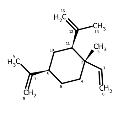 C=C[C@]1(C)CC[C@@H](C(=C)C)C[C@H]1C(=C)C